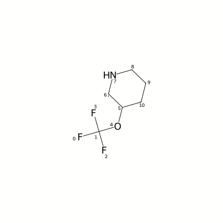 FC(F)(F)OC1[CH]NCCC1